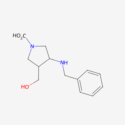 O=C(O)N1CC(CO)C(NCc2ccccc2)C1